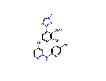 COc1c(Nc2cc(Nc3cc(C#N)ccn3)ncc2C(C)=O)cccc1-c1ncn(C)n1